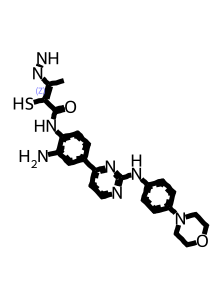 C/C(N=N)=C(/S)C(=O)Nc1ccc(-c2ccnc(Nc3ccc(N4CCOCC4)cc3)n2)cc1N